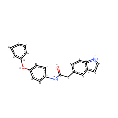 O=C(Cc1ccc2[nH]ccc2c1)Nc1ccc(Oc2ccccc2)cc1